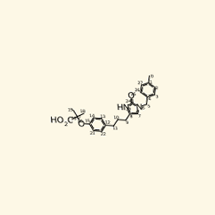 Cc1ccc(Cn2cc(CCCc3ccc(OC(C)(C)C(=O)O)cc3)[nH]c2=O)cc1